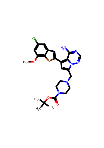 COc1cc(Cl)cc2cc(-c3cc(CN4CCN(C(=O)OC(C)(C)C)CC4)n4ncnc(N)c34)sc12